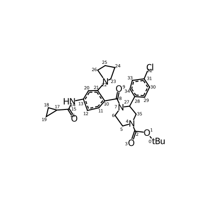 CC(C)(C)OC(=O)N1CCN(C(=O)c2ccc(NC(=O)C3CC3)cc2N2CCCC2)C(c2ccc(Cl)cc2)C1